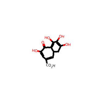 O=C(O)C1=CC2CC(O)=C(O)C(O)=C2C(=O)C(O)=C1